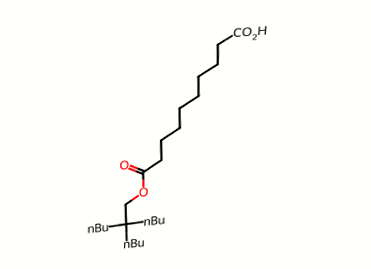 CCCCC(CCCC)(CCCC)COC(=O)CCCCCCCCC(=O)O